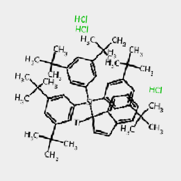 CC(C)(C)c1cc(C(C)(C)C)cc([Si](c2cc(C(C)(C)C)cc(C(C)(C)C)c2)(c2cc(C(C)(C)C)cc(C(C)(C)C)c2)[C]2([Ti])C=Cc3ccccc32)c1.Cl.Cl.Cl